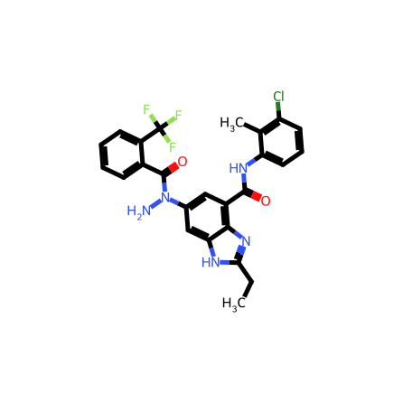 CCc1nc2c(C(=O)Nc3cccc(Cl)c3C)cc(N(N)C(=O)c3ccccc3C(F)(F)F)cc2[nH]1